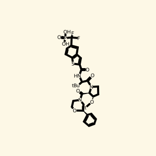 CCO[C@H]1CCN(C(=O)C(NC(=O)c2cc3cc(C(F)(F)P(=O)(O)O)ccc3s2)C(C)(C)C)[C@@H]1C(=O)N1CCO[C@H](c2ccccc2)C1